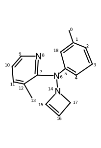 Cc1cccc(N(c2ncccc2C)N2C=CC2)c1